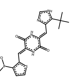 CC(C)(C)c1[nH]cnc1/C=c1\[nH]c(=O)/c(=C/c2sccc2B(O)O)[nH]c1=O